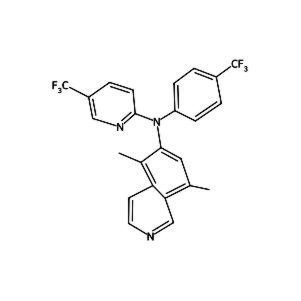 Cc1cc(N(c2ccc(C(F)(F)F)cc2)c2ccc(C(F)(F)F)cn2)c(C)c2ccncc12